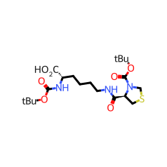 CC(C)(C)OC(=O)N[C@@H](CCCCNC(=O)[C@@H]1CSCN1C(=O)OC(C)(C)C)C(=O)O